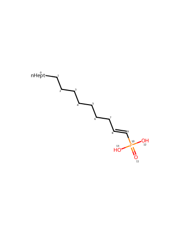 CCCCCCCCCCCCCCC=CP(=O)(O)O